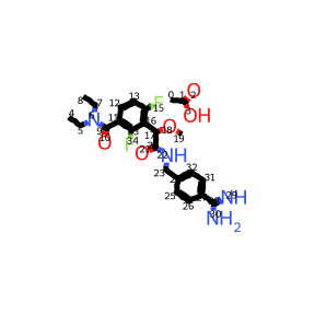 CC(=O)O.CCN(CC)C(=O)c1ccc(F)c(C(OC)C(=O)NCc2ccc(C(=N)N)cc2)c1F